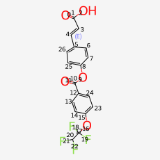 O=C(O)/C=C/c1ccc(OC(=O)c2ccc(OC(F)(F)C(F)F)cc2)cc1